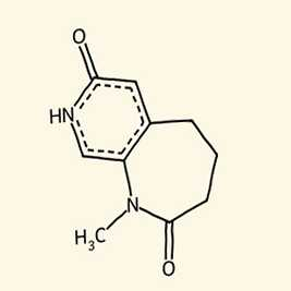 CN1C(=O)CCCc2cc(=O)[nH]cc21